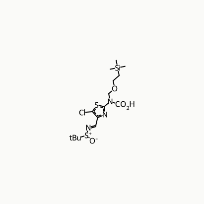 CC(C)(C)[S+]([O-])N=Cc1nc(N(COCC[Si](C)(C)C)C(=O)O)sc1Cl